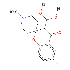 CCOC(OCC)C1C(=O)c2cc(F)ccc2OC12CCN(C(=O)O)CC2